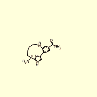 NC(=O)c1ccc2c(c1)NCCCCC[C@H](N)c1nc-2c[nH]1